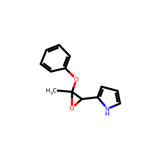 CC1(Oc2ccccc2)OC1c1ccc[nH]1